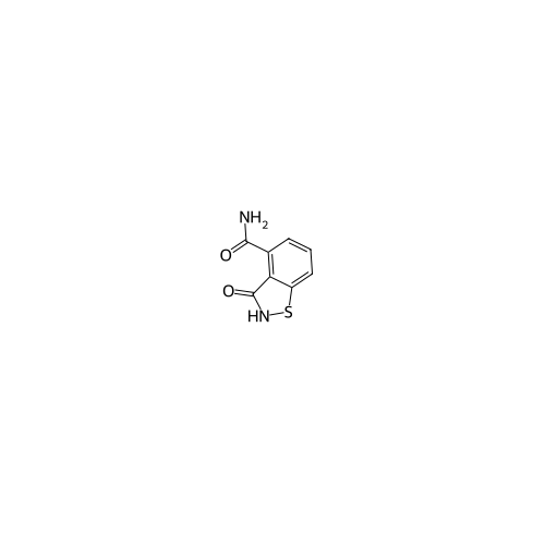 NC(=O)c1cccc2s[nH]c(=O)c12